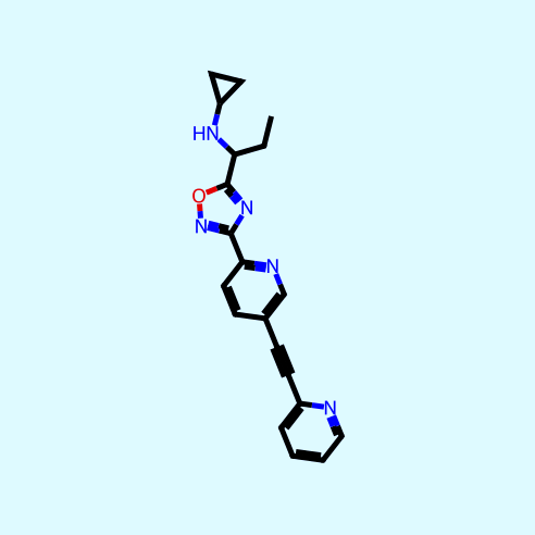 CCC(NC1CC1)c1nc(-c2ccc(C#Cc3ccccn3)cn2)no1